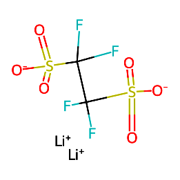 O=S(=O)([O-])C(F)(F)C(F)(F)S(=O)(=O)[O-].[Li+].[Li+]